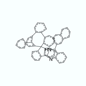 c1ccc(-c2c3cccc2C(c2ccccc2)(c2ccccc2C2N=c4ccccc4=C(c4ccc5ccccc5c4)N2)c2ccccc2-c2ccccc2-3)cc1